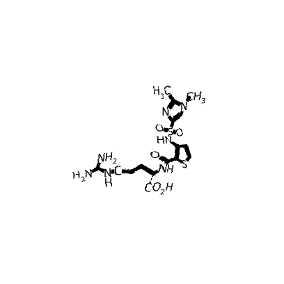 Cc1nc(S(=O)(=O)Nc2ccsc2C(=O)N[C@@H](CCCNC(N)N)C(=O)O)cn1C